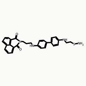 NSCCNc1ccc(-c2ccc(NCCCN3C(=O)c4cccc5cccc(c45)C3=O)cc2)cc1